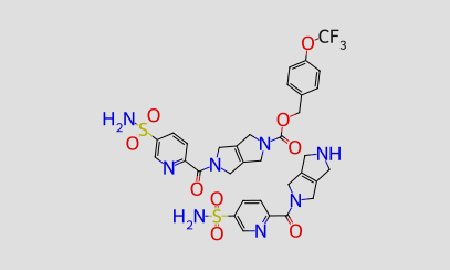 NS(=O)(=O)c1ccc(C(=O)N2CC3=C(CN(C(=O)OCc4ccc(OC(F)(F)F)cc4)C3)C2)nc1.NS(=O)(=O)c1ccc(C(=O)N2CC3=C(CNC3)C2)nc1